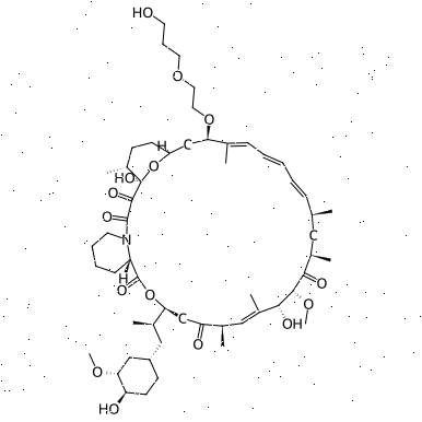 CO[C@@H]1C[C@H](C[C@@H](C)[C@@H]2CC(=O)[C@H](C)/C=C(\C)[C@@H](O)[C@@H](OC)C(=O)[C@H](C)C[C@H](C)/C=C/C=C/C=C(\C)[C@H](OCCOCCCO)C[C@@H]3CC[C@@H](C)[C@@](O)(O3)C(=O)C(=O)N3CCCC[C@H]3C(=O)O2)CC[C@H]1O